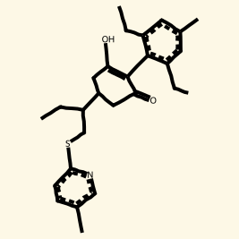 CCc1cc(C)cc(CC)c1C1=C(O)CC(C(CC)CSc2ccc(C)cn2)CC1=O